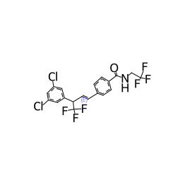 O=C(NCC(F)(F)F)c1ccc(/C=C/C(c2cc(Cl)cc(Cl)c2)C(F)(F)F)cc1